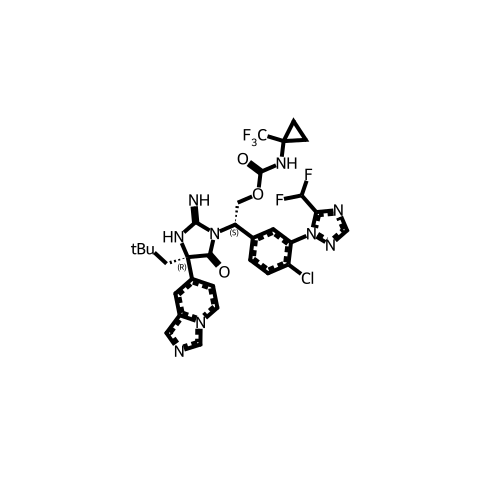 CC(C)(C)C[C@]1(c2ccn3cncc3c2)NC(=N)N([C@H](COC(=O)NC2(C(F)(F)F)CC2)c2ccc(Cl)c(-n3ncnc3C(F)F)c2)C1=O